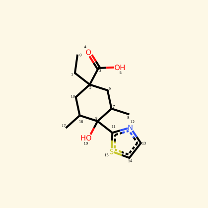 CCC1(C(=O)O)CC(C)C(O)(c2nccs2)C(C)C1